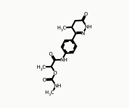 CNC(=O)OC(C)C(=O)Nc1ccc(C2=NNC(=O)CC2C)cc1